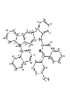 N#Cc1cccc(-c2nc(-n3c4ccccc4c4cc5c6ccccc6n6c7c8ccccc8ccc7c(c43)c56)nc3ccccc23)c1